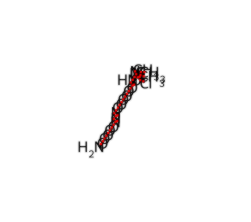 Cc1sc2c(c1C)C(c1ccc(Cl)cc1)=N[C@@H](CC(=O)Nc1ccc(OCCOCCOCCOCCOCCOCCN3CCC(N4CCN(CCOCCOCCOCCOCCOCCN)CC4)CC3)cc1)c1nnc(C)n1-2